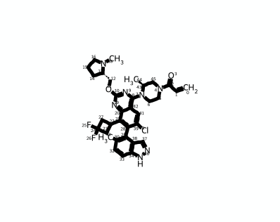 C=CC(=O)N1CCN(c2nc(OC[C@@H]3CCCN3C)nc3c(C4CC(F)(F)C4)c(-c4c(C)ccc5[nH]ncc45)c(Cl)cc23)[C@@H](C)C1